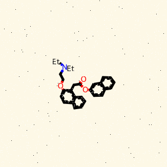 CCN(CC)CCOc1ccc2ccccc2c1CC(=O)Oc1ccc2ccccc2c1